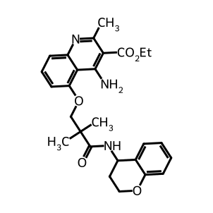 CCOC(=O)c1c(C)nc2cccc(OCC(C)(C)C(=O)NC3CCOc4ccccc43)c2c1N